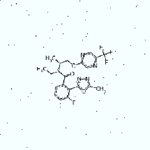 CCN(C(=O)c1cccc(F)c1-c1nnc(C)o1)[C@@H](C)COc1cnc(C(F)(F)F)cn1